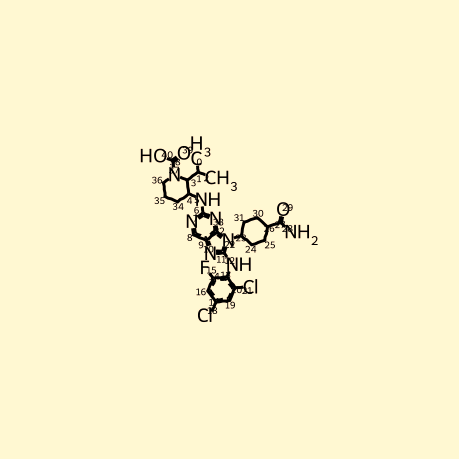 CC(C)C1C(Nc2ncc3nc(Nc4c(F)cc(Cl)cc4Cl)n(C4CCC(C(N)=O)CC4)c3n2)CCCN1C(=O)O